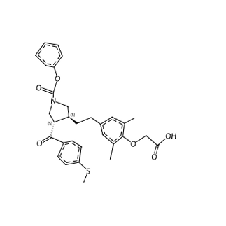 CSc1ccc(C(=O)[C@@H]2CN(C(=O)Oc3ccccc3)C[C@H]2CCc2cc(C)c(OCC(=O)O)c(C)c2)cc1